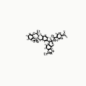 CC[C@@H]1CN(Cc2cc(C(c3ccc4c(nnn4CC)c3C)C(C)(C)NC(=O)c3cnc(N(C)C)nc3)ccc2C)S(=O)(=O)c2ccccc2O1